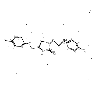 Cc1ccc(OCC2CN(CCNc3ccc(Cl)cc3)C(=O)O2)cc1